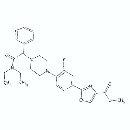 CCN(CC)C(=O)C(c1ccccc1)N1CCN(c2ccc(-c3nc(C(=O)OC)co3)cc2F)CC1